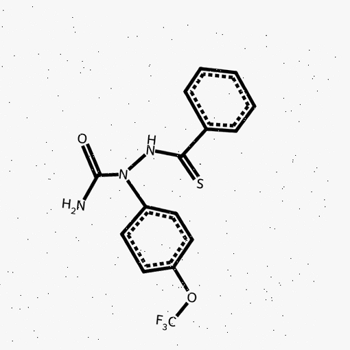 NC(=O)N(NC(=S)c1ccccc1)c1ccc(OC(F)(F)F)cc1